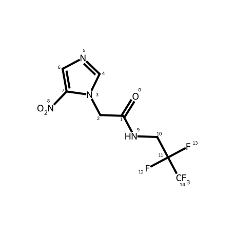 O=C(Cn1cncc1[N+](=O)[O-])NCC(F)(F)C(F)(F)F